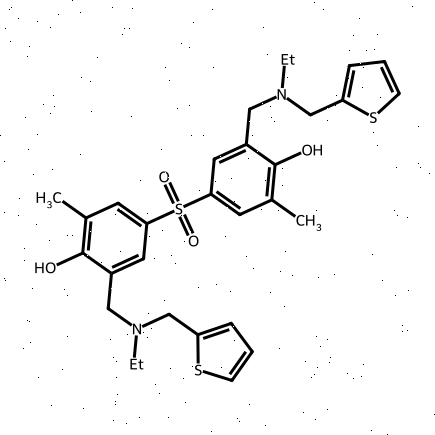 CCN(Cc1cccs1)Cc1cc(S(=O)(=O)c2cc(C)c(O)c(CN(CC)Cc3cccs3)c2)cc(C)c1O